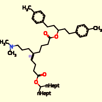 CCCCCCCC(CCCCCCC)OC(=O)CC/C=C(\CCCC(=O)OC(CCc1ccc(C)cc1)CCc1ccc(C)cc1)CCCN(C)C